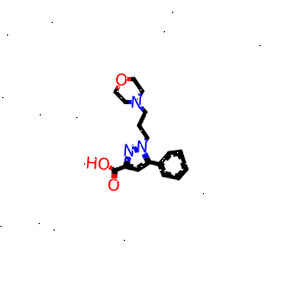 O=C(O)c1cc(-c2ccccc2)n(CCCN2CCOCC2)n1